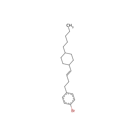 CCCCCC1CCC(C=CCCc2ccc(Br)cc2)CC1